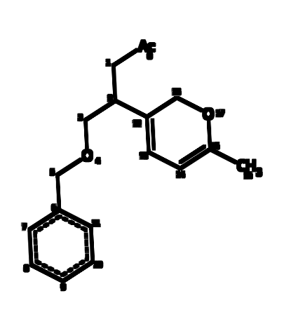 CC(=O)CC(COCc1ccccc1)C1=CC=C(C)OC1